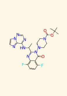 CC(Nc1ncnn2ccnc12)c1nc2c(F)ccc(F)c2c(=O)n1N1CCN(C(=O)OC(C)(C)C)CC1